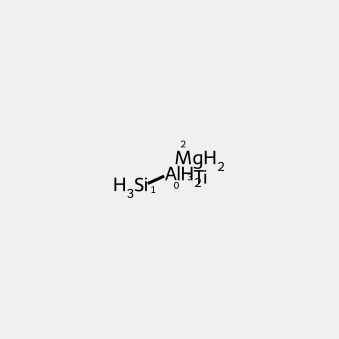 [AlH2][SiH3].[MgH2].[Ti]